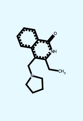 CCc1[nH]c(=O)c2ccccc2c1CN1CCCC1